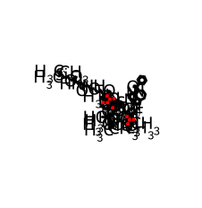 CCN(CC)C(C)[C@]1(CO[P@](=S)(OC[C@H]2CCCN2C(C)=O)O[C@@H]2[C@H](O[Si](C)(C)C(C)(C)C)[C@@H](CO)O[C@H]2n2cnc3c(=O)n(CCOCNC(=O)CNC(=O)OCC[Si](C)(C)C)cnc32)O[C@@H](n2cc3c4c(ncnc42)N(C(=O)c2ccccc2)CCC3)[C@H](F)[C@@H]1OP(=O)(O)O